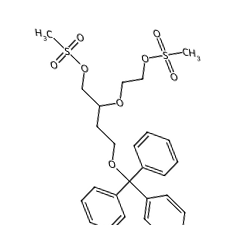 CS(=O)(=O)OCCOC(CCOC(c1ccccc1)(c1ccccc1)c1ccccc1)COS(C)(=O)=O